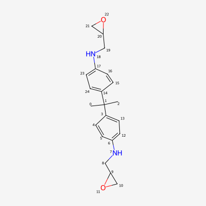 CC(C)(c1ccc(NCC2CO2)cc1)c1ccc(NCC2CO2)cc1